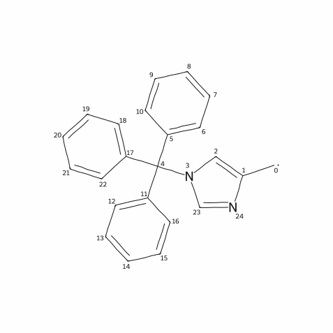 [CH2]c1cn(C(c2ccccc2)(c2ccccc2)c2ccccc2)cn1